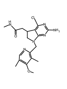 CNC(=O)CC1CN(Cc2ncc(C)c(OC)c2C)c2nc(N)nc(Cl)c21